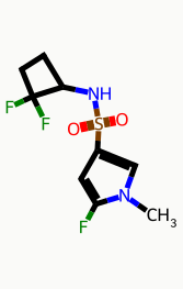 Cn1cc(S(=O)(=O)NC2CCC2(F)F)cc1F